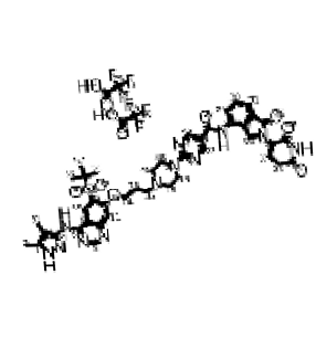 Cc1[nH]nc(Nc2ncnc3cc(OCCCN4CCN(c5ncc(C(=O)Nc6cccc7c6CN(C6CCC(=O)NC6=O)C7=O)cn5)CC4)c(S(=O)(=O)C(C)(C)C)cc23)c1C.O=C(O)C(F)(F)F.O=C(O)C(F)(F)F